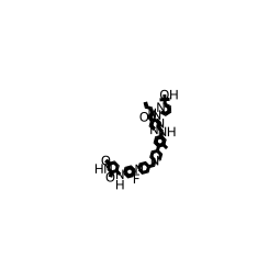 C=CCn1c(=O)c2cnc(Nc3ccc(C4CCN(CC5CCN(c6ccc(NC7CCC(=O)NC7=O)cc6F)CC5)CC4)c(C)c3)nc2n1-c1cccc(C(C)(C)O)n1